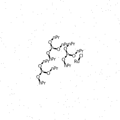 CCCOP(OCCC)OCCC.CCCOP(OCCC)OCCC.CCCOP(OCCC)OCCC.[Cl][Ru]